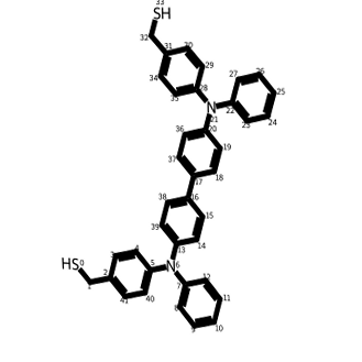 SCc1ccc(N(c2ccccc2)c2ccc(-c3ccc(N(c4ccccc4)c4ccc(CS)cc4)cc3)cc2)cc1